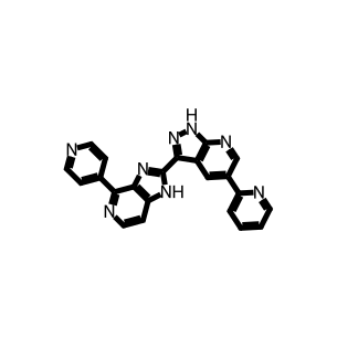 c1ccc(-c2cnc3[nH]nc(-c4nc5c(-c6ccncc6)nccc5[nH]4)c3c2)nc1